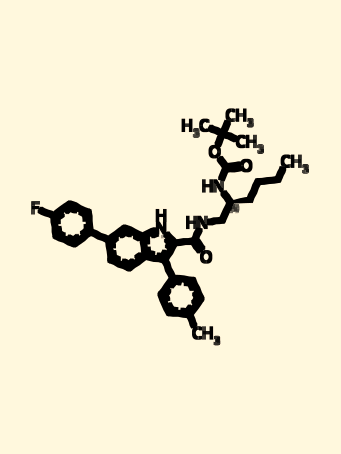 CCCC[C@@H](CNC(=O)c1[nH]c2cc(-c3ccc(F)cc3)ccc2c1-c1ccc(C)cc1)NC(=O)OC(C)(C)C